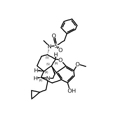 COc1cc(O)c2c3c1O[C@H]1[C@@H](N(C)S(=O)(=O)Cc4ccccc4)CC[C@H]4[C@@H](C2)N(CC2CC2)CC[C@@]341